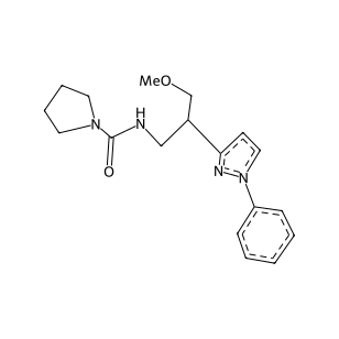 COCC(CNC(=O)N1CCCC1)c1ccn(-c2ccccc2)n1